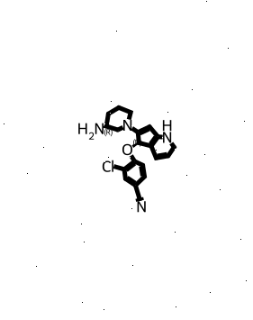 N#Cc1ccc(O[C@H]2C(N3CCC[C@@H](N)C3)=CC3=C2C=CCN3)c(Cl)c1